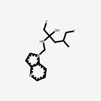 CC(CF)CC(O)(CF)NCn1ccc2ncccc21